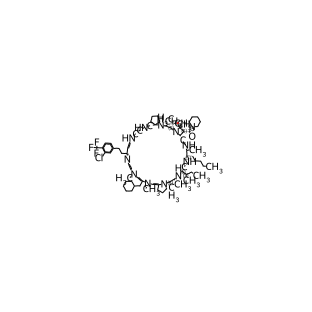 CCCCC[C@@H]1NC[C@H]([C@@H](C)CC)NC(C)[C@H](C)N2CCCC2=CN(C)C(CC2CCCCC2)=CN(C)C=CN=C(CCc2ccc(C(F)(F)F)c(Cl)c2)C=CNCCNCC2(CCCC2)NC(C)[C@H](C(C)C)N2C(C)[C@H](C(=O)N3CCCCC3)C2CNC1C